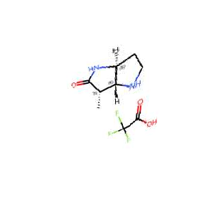 C[C@@H]1C(=O)N[C@H]2CCN[C@@H]21.O=C(O)C(F)(F)F